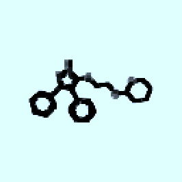 c1ccc(-c2n[nH]c(SCCOC3CCCCO3)c2-c2ccccc2)cc1